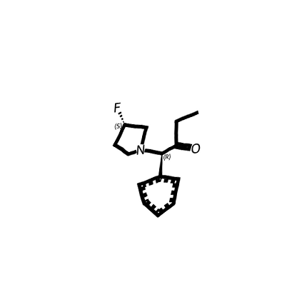 CCC(=O)[C@@H](c1ccccc1)N1CC[C@H](F)C1